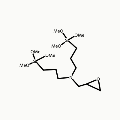 CO[Si](CCCN(CCC[Si](OC)(OC)OC)CC1CO1)(OC)OC